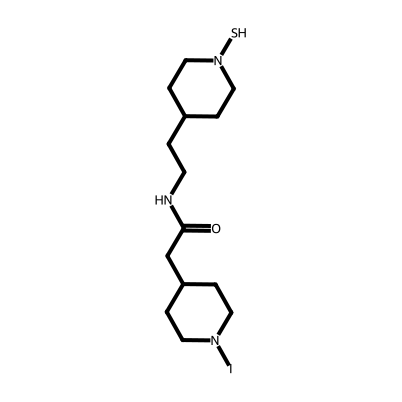 O=C(CC1CCN(I)CC1)NCCC1CCN(S)CC1